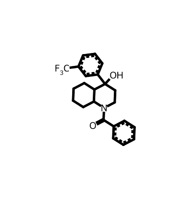 O=C(c1ccccc1)N1CCC(O)(c2cccc(C(F)(F)F)c2)C2CCCCC21